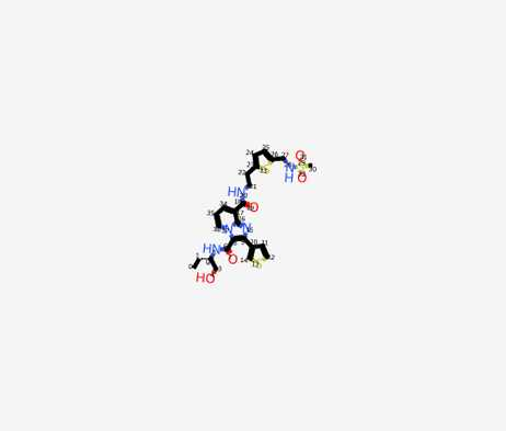 CC[C@@H](CO)NC(=O)c1c(-c2ccsc2)nc2c(C(=O)NCCc3ccc(CNS(C)(=O)=O)s3)cccn12